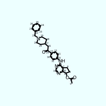 CC(=O)OC1CCc2c(Nc3ccc(C(=O)CC4CCN(Cc5ccccc5)CC4)cc3)ncnc21